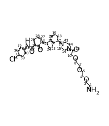 NCCOCCOCCOCC(=O)N1CCN(c2cccc3c2CCC3n2cccc(C(=O)Nc3ccc(Cl)cc3)c2=O)CC1